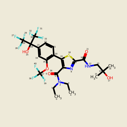 CCN(CC)C(=O)c1nc(C(=O)NCC(C)(C)O)sc1-c1ccc(C(O)(C(F)(F)F)C(F)(F)F)cc1OC(F)(F)F